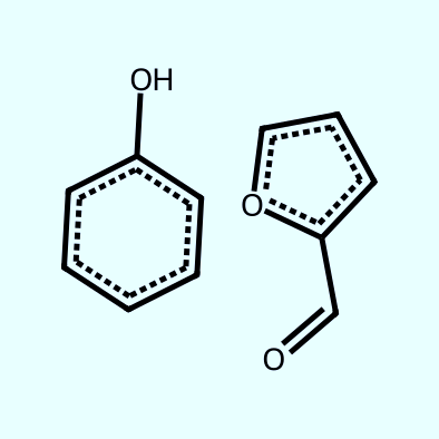 O=Cc1ccco1.Oc1ccccc1